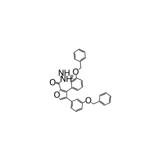 NNC(=O)c1occ(-c2cccc(OCc3ccccc3)c2)c1-c1cccc(OCc2ccccc2)c1